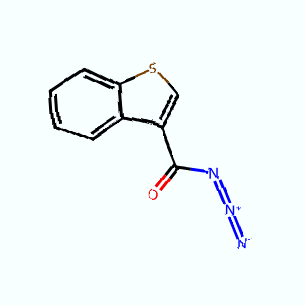 [N-]=[N+]=NC(=O)c1csc2ccccc12